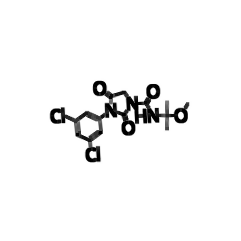 COC(C)(C)NC(=O)N1CC(=O)N(c2cc(Cl)cc(Cl)c2)C1=O